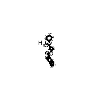 CC1(OC(=O)C2CCC(OC(=O)C3CC4CC3C3C5C=CC(C5)C43)C2)CCCCC1